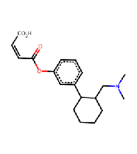 CN(C)CC1CCCCC1c1cccc(OC(=O)/C=C\C(=O)O)c1